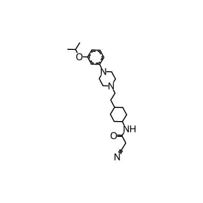 CC(C)Oc1cccc(N2CCN(CCC3CCC(NC(=O)CC#N)CC3)CC2)c1